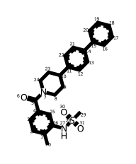 Cc1ccc(C(=O)N2CCC(c3ccc(-c4ccccc4)cc3)CC2)cc1NS(C)(=O)=O